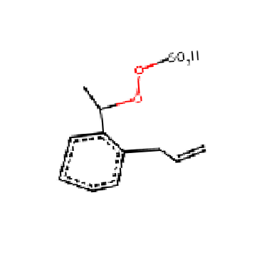 C=CCc1ccccc1C(C)OOS(=O)(=O)O